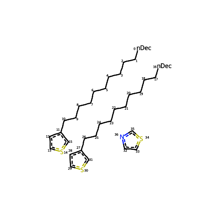 CCCCCCCCCCCCCCCCCCCCc1ccsc1.CCCCCCCCCCCCCCCCCCCCc1ccsc1.c1cscn1